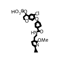 COc1nc(C2CC2)ccc1CCNC(=O)c1ccc(Oc2cc3c(cc2Cl)C(OC(=O)O)CCO3)cc1